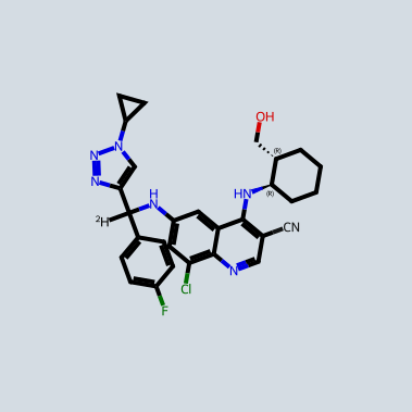 [2H]C(Nc1cc(Cl)c2ncc(C#N)c(N[C@@H]3CCCC[C@H]3CO)c2c1)(c1ccc(F)cc1)c1cn(C2CC2)nn1